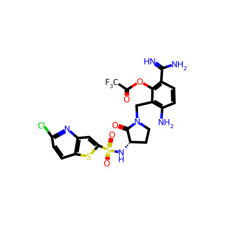 N=C(N)c1ccc(N)c(CN2CC[C@H](NS(=O)(=O)c3cc4nc(Cl)ccc4s3)C2=O)c1OC(=O)C(F)(F)F